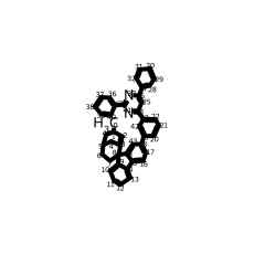 CC1C=C2CC(CCC23c2ccccc2-c2ccc(-c4cccc(-c5cc(-c6ccccc6)nc(-c6ccccc6)n5)c4)cc23)C1